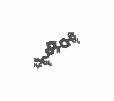 CCC(C)(C)CCc1cc2c(N[C@H]3CC[C@H](N(C)C)CC3)ncnc2s1